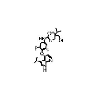 CC(C)c1c[nH]c2nccc(Oc3c(F)cc(NC4=NCC(CO)(C(C)C)CO4)cc3F)c12